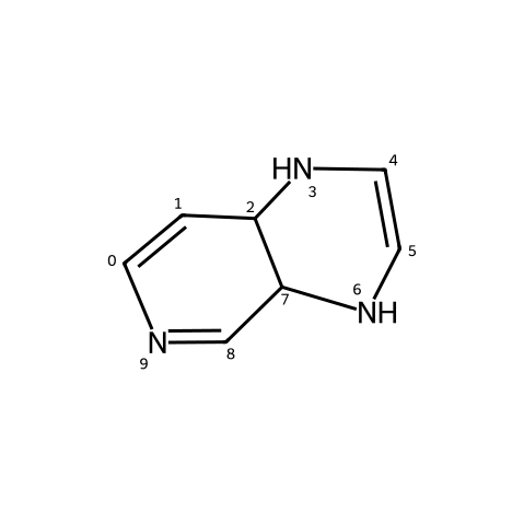 C1=CC2NC=CNC2C=N1